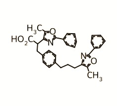 Cc1oc(-c2ccccc2)nc1CCCc1ccc(CC(C(=O)O)c2nc(-c3ccccc3)oc2C)cc1